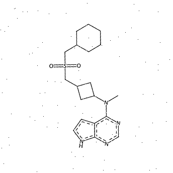 CN(c1ncnc2[nH]ccc12)C1CC(CS(=O)(=O)CC2CCCCC2)C1